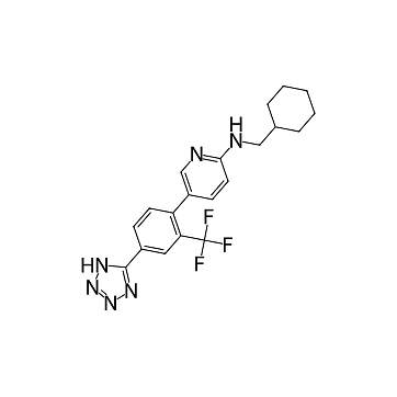 FC(F)(F)c1cc(-c2nnn[nH]2)ccc1-c1ccc(NCC2CCCCC2)nc1